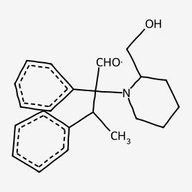 CC(c1ccccc1)C([C]=O)(c1ccccc1)N1CCCCC1CO